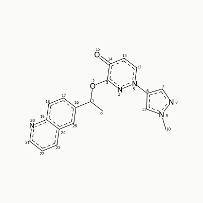 CC(Oc1nn(-c2cnn(C)c2)ccc1=O)c1ccc2ncccc2c1